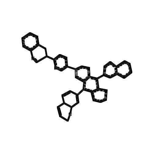 C1=CC2C=CC(c3c4ccccc4c(-c4ccc5ccccc5c4)c4ccc(-c5ccc(C6C=Nc7ccccc7C6)nc5)cc34)=CC2CC1